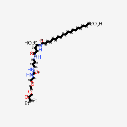 CCC(CC)C(=O)COCCOCCNC(=O)NCCCCNC(=O)CC[C@H](NC(=O)CCCCCCCCCCCCCCCCCCC(=O)O)C(=O)O